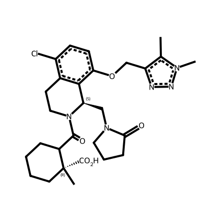 Cc1c(COc2ccc(Cl)c3c2[C@@H](CN2CCCC2=O)N(C(=O)C2CCCC[C@@]2(C)C(=O)O)CC3)nnn1C